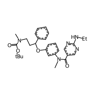 CCNc1ncc(C(=O)N(C)c2cccc(OC(CCN(C)C(=O)OC(C)(C)C)c3ccccc3)c2)cn1